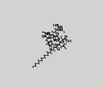 CCCCCCCCCCCCCCCC(=O)N[C@@H](CC(C)C)C(=O)N[C@@H](CCC(=O)O)C(=O)N[C@@H](CCCNC(=N)N)C(=O)N[C@@H](Cc1c[nH]cn1)C(=O)NC